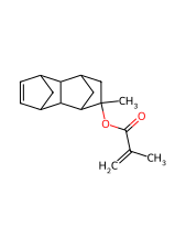 C=C(C)C(=O)OC1(C)CC2CC1C1C3C=CC(C3)C21